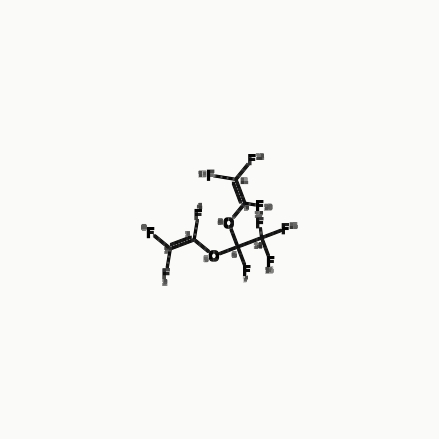 FC(F)=C(F)OC(F)(OC(F)=C(F)F)C(F)(F)F